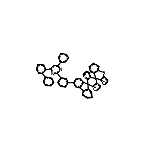 c1ccc(-c2cc(-c3ccccc3-c3ccccc3)nc(-c3cccc(-c4ccc5c(c4)-c4ccccc4C54c5ccccc5C5(c6ccccc6Sc6ccccc65)c5ccccc54)c3)n2)cc1